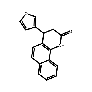 O=C1CC(c2ccoc2)c2ccc3ccccc3c2N1